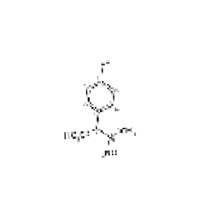 CN(N=O)C(C(=O)O)c1ccc(F)cc1